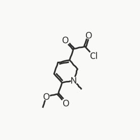 COC(=O)C1=CC=C(C(=O)C(=O)Cl)CN1C